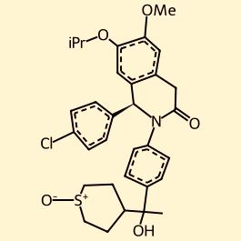 COc1cc2c(cc1OC(C)C)[C@H](c1ccc(Cl)cc1)N(c1ccc(C(C)(O)C3CC[S+]([O-])CC3)cc1)C(=O)C2